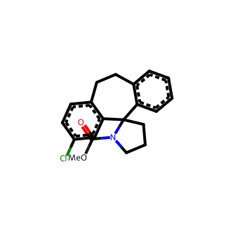 COC(=O)N1CCCC12c1ccccc1CCc1ccc(Cl)cc12